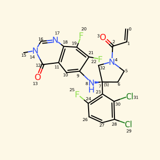 C=CC(=O)N1CC[C@](Nc2cc3c(=O)n(C)cnc3c(F)c2F)(c2c(F)ccc(Cl)c2Cl)C1